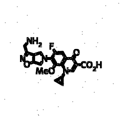 COc1c(N2CC3ON=C(CN)C3C2)c(F)cc2c(=O)c(C(=O)O)cn(C3CC3)c12